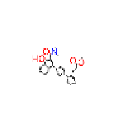 CCOC(=O)CCc1ccccc1-c1ccc(-c2cc(C(=O)N(C)C)c(O)c3ccccc23)cc1